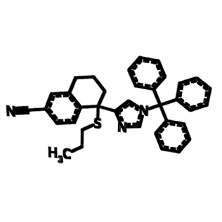 CCCSC1(c2cn(C(c3ccccc3)(c3ccccc3)c3ccccc3)cn2)CCCc2cc(C#N)ccc21